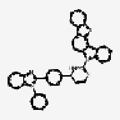 C1=CC(c2ccc(-c3nc4ccccc4n3-c3ccccc3)cc2)NC(n2c3ccccc3c3c4sc5ccccc5c4ccc32)=N1